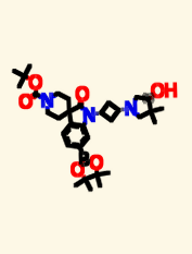 CC(C)(C)OC(=O)N1CCC2(CC1)C(=O)N([C@H]1C[C@@H](N3C[C@@H](O)C(C)(C)C3)C1)c1cc(B3OC(C)(C)C(C)(C)O3)ccc12